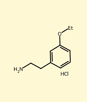 CCOc1cccc(CCN)c1.Cl